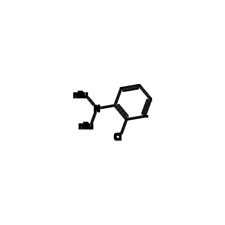 CCCCN(CCCC)c1ccc[c]c1Cl